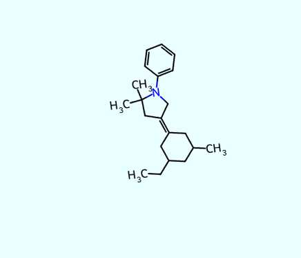 CCC1C/C(=C2/CN(c3ccccc3)C(C)(C)C2)CC(C)C1